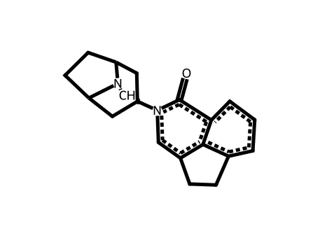 CN1C2CCC1CC(n1cc3c4c(cccc4c1=O)CC3)C2